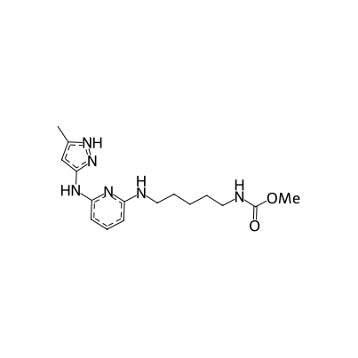 COC(=O)NCCCCCNc1cccc(Nc2cc(C)[nH]n2)n1